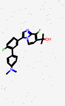 CN(C)c1ccc(-c2cc(-c3cnc4c(F)c(C(C)(C)O)ccn34)ccc2F)cc1